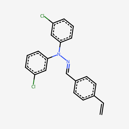 C=Cc1ccc(C=NN(c2cccc(Cl)c2)c2cccc(Cl)c2)cc1